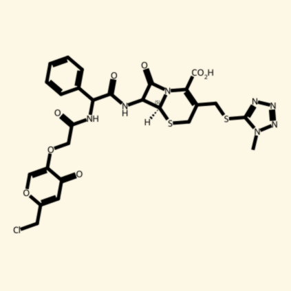 Cn1nnnc1SCC1=C(C(=O)O)N2C(=O)C(NC(=O)C(NC(=O)COc3coc(CCl)cc3=O)c3ccccc3)[C@@H]2SC1